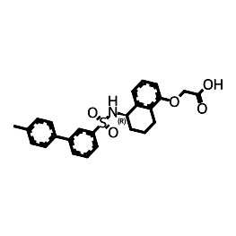 Cc1ccc(-c2cccc(S(=O)(=O)N[C@@H]3CCCc4c(OCC(=O)O)cccc43)c2)cc1